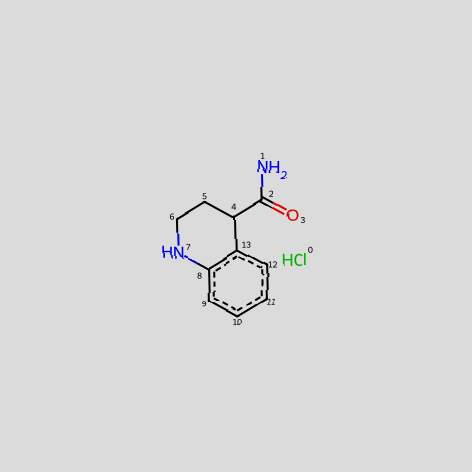 Cl.NC(=O)C1CCNc2ccccc21